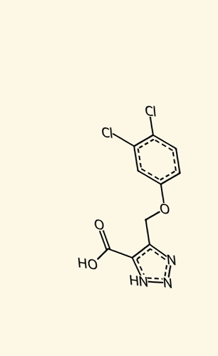 O=C(O)c1[nH]nnc1COc1ccc(Cl)c(Cl)c1